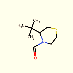 CC(C)(C)C1CSCCN1C=O